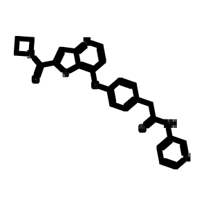 O=C(Cc1ccc(Oc2ccnc3cc(C(=O)N4CCC4)sc23)cc1)Nc1cccnc1